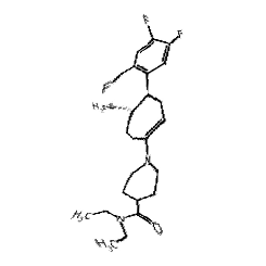 CCN(CC)C(=O)C1CCN(C2=CC[C@H](c3cc(F)c(F)cc3F)[C@@H](N)C2)CC1